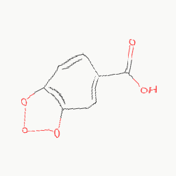 O=C(O)c1ccc2c(c1)OOO2